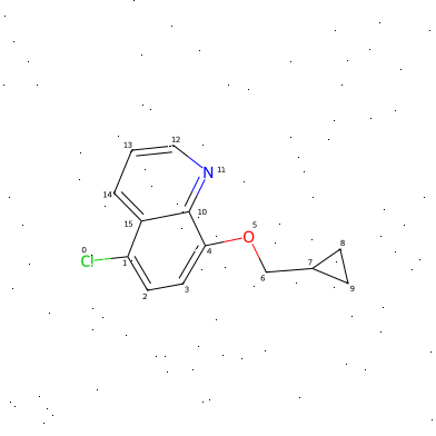 Clc1ccc(OCC2CC2)c2ncccc12